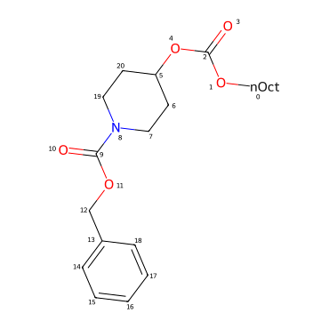 CCCCCCCCOC(=O)OC1CCN(C(=O)OCc2ccccc2)CC1